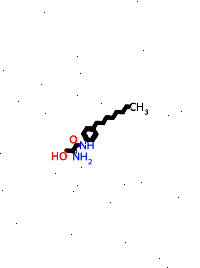 CCCCCCCCc1ccc(NC(=O)[C@H](N)CO)cc1